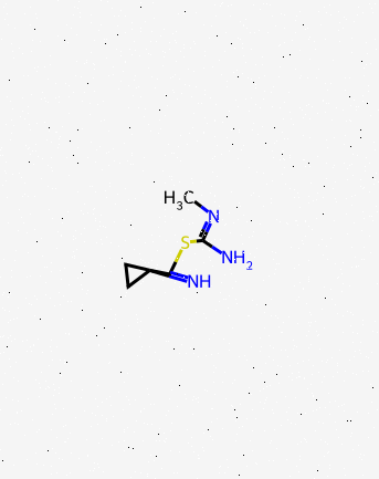 C/N=C(/N)SC(=N)C1CC1